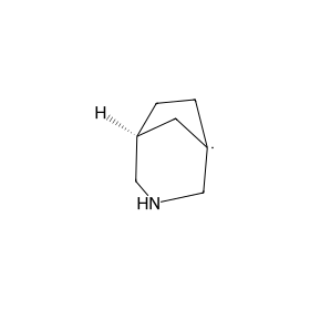 C1C[C@@H]2CNC[C]1C2